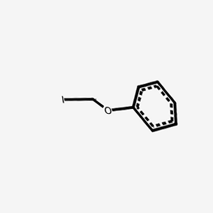 I[CH]Oc1ccccc1